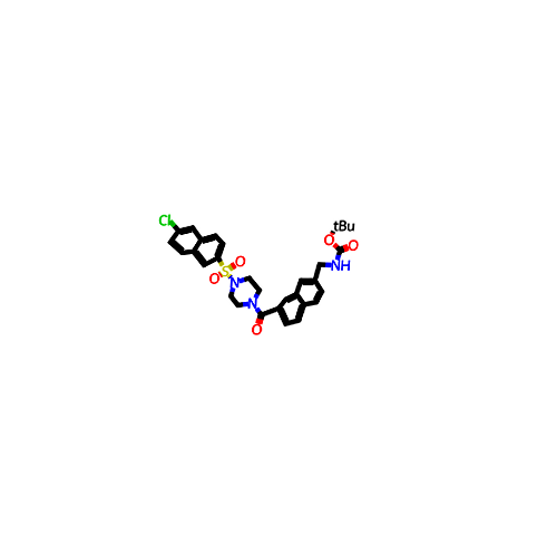 CC(C)(C)OC(=O)NCc1ccc2ccc(C(=O)N3CCN(S(=O)(=O)c4ccc5cc(Cl)ccc5c4)CC3)cc2c1